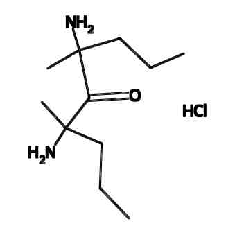 CCCC(C)(N)C(=O)C(C)(N)CCC.Cl